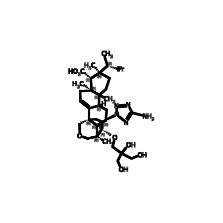 CC(C)[C@@H](C)[C@@]1(C)CC[C@]2(C)[C@H]3CC[C@@H]4[C@@]5(COC[C@]4(C)[C@@H](OCC(O)(CO)CO)[C@H](n4nnc(N)n4)C5)C3=CC[C@@]2(C)[C@@H]1C(=O)O